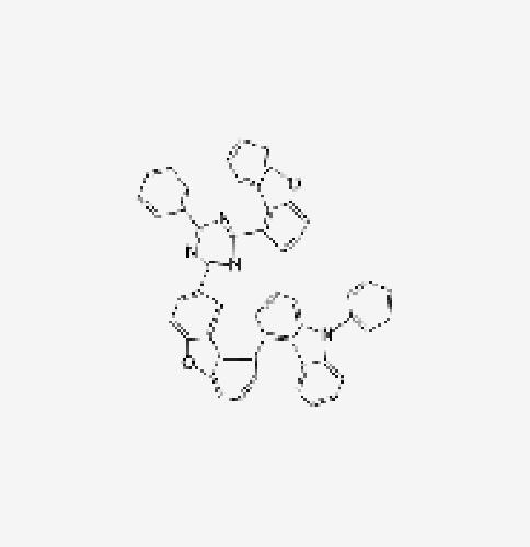 c1ccc(-c2nc(-c3ccc4oc5cccc(-c6cccc7c6c6ccccc6n7-c6ccccc6)c5c4c3)nc(-c3cccc4oc5ccccc5c34)n2)cc1